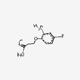 Cc1cc(F)ccc1OCC(O)=S